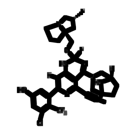 CC#Cc1nc(-c2cc(O)cc(Cl)c2C(F)(F)F)c(F)c2c1C(N1C[C@H]3CC[C@@H](C1)N3)=NC(F)(OC[C@@]13CCCN1C[C@H](F)C3)N2